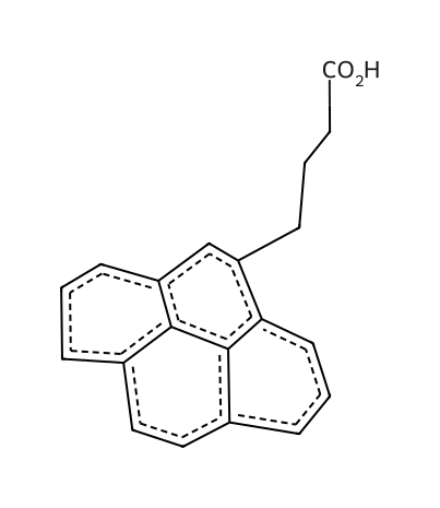 O=C(O)CCCc1cc2cccc3ccc4cccc1c4c32